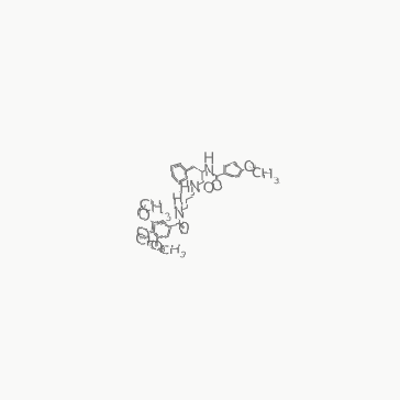 COc1ccc(C(=O)NC(Cc2ccccc2)C(=O)NCCCNC(=O)c2cc(OC)c(OC)c(OC)c2)cc1